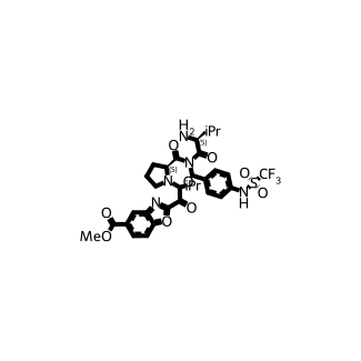 COC(=O)c1ccc2oc(C(=O)C(C(C)C)N3CCC[C@H]3C(=O)N(C(=O)c3ccc(NS(=O)(=O)C(F)(F)F)cc3)C(=O)[C@@H](N)C(C)C)nc2c1